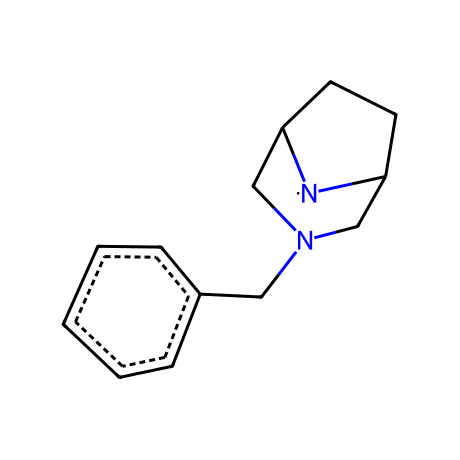 c1ccc(CN2CC3CCC(C2)[N]3)cc1